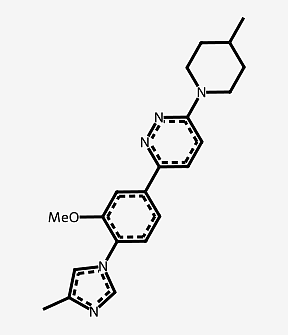 COc1cc(-c2ccc(N3CCC(C)CC3)nn2)ccc1-n1cnc(C)c1